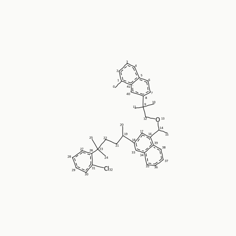 Cc1cccc2ccc(C(C)(C)COC(C)c3cc(C(C)CCC(C)(C)c4ccccc4Cl)cc4ccccc34)cc12